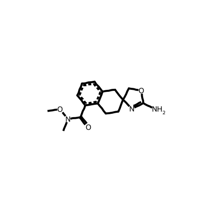 CON(C)C(=O)c1cccc2c1CCC1(COC(N)=N1)C2